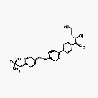 C=C(c1ccc(-c2ccc(CCC3CCN(CC(C)(C)F)CC3)cc2)cc1)N(C)CCO